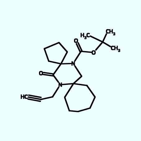 C#CCN1C(=O)C2(CCCC2)N(C(=O)OC(C)(C)C)CC12CCCCCC2